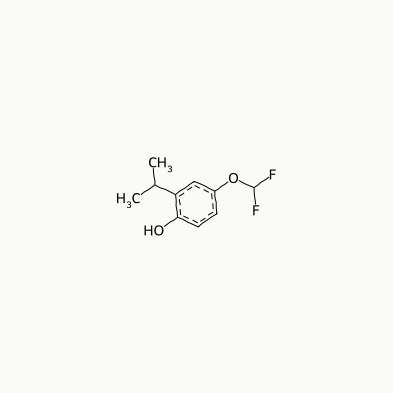 CC(C)c1cc(OC(F)F)ccc1O